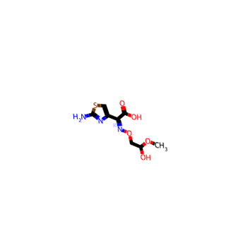 COC(O)CO/N=C(\C(=O)O)c1csc(N)n1